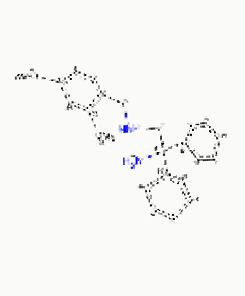 COc1ccc(CNCC(N)(c2ccccc2)c2ccccc2)c(OC)c1